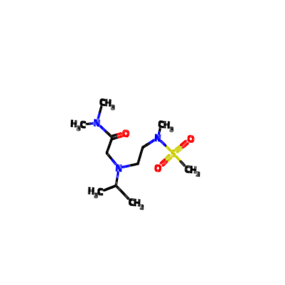 CC(C)N(CCN(C)S(C)(=O)=O)CC(=O)N(C)C